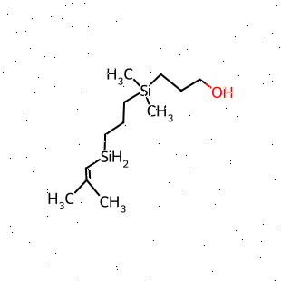 CC(C)=C[SiH2]CCC[Si](C)(C)CCCO